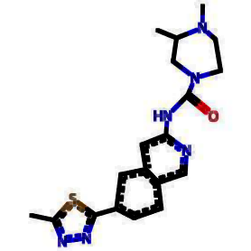 Cc1nnc(-c2ccc3cnc(NC(=O)N4CCN(C)C(C)C4)cc3c2)s1